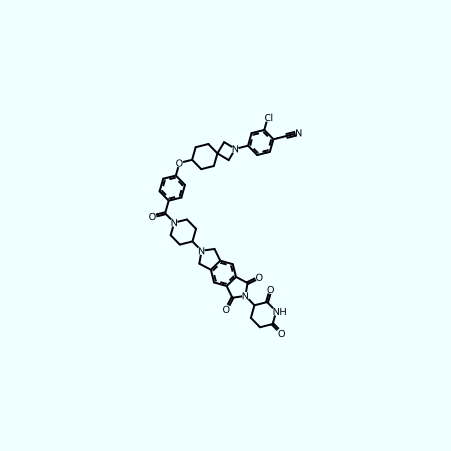 N#Cc1ccc(N2CC3(CCC(Oc4ccc(C(=O)N5CCC(N6Cc7cc8c(cc7C6)C(=O)N(C6CCC(=O)NC6=O)C8=O)CC5)cc4)CC3)C2)cc1Cl